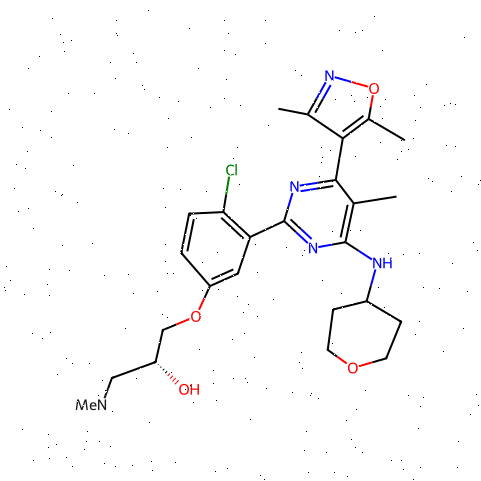 CNC[C@@H](O)COc1ccc(Cl)c(-c2nc(NC3CCOCC3)c(C)c(-c3c(C)noc3C)n2)c1